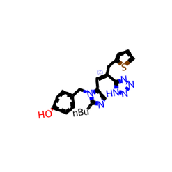 CCCCc1ncc(/C=C(/Cc2cccs2)c2nnn[nH]2)n1Cc1ccc(O)cc1